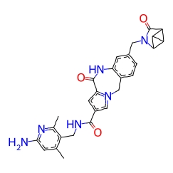 Cc1cc(N)nc(C)c1CNC(=O)c1cc2n(c1)Cc1ccc(CN3C(=O)C4C5C4C53)cc1NC2=O